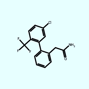 NC(=O)Cc1ccccc1-c1cc(Cl)ccc1C(F)(F)F